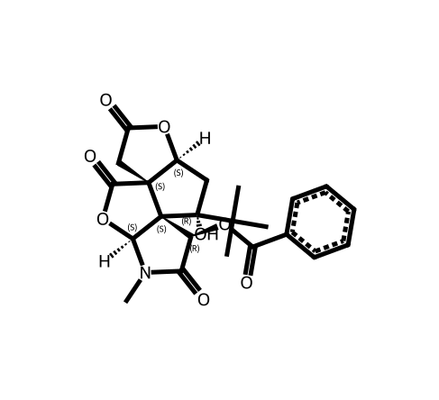 CN1C(=O)[C@H](OC(=O)c2ccccc2)[C@@]23[C@@H]1OC(=O)[C@@]21CC(=O)O[C@H]1C[C@@]3(O)C(C)(C)C